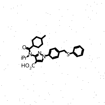 CC1CCC(C(=O)N(c2nn(-c3ccc(CSc4ccccc4)cc3)cc2C(=O)O)C(C)C)CC1